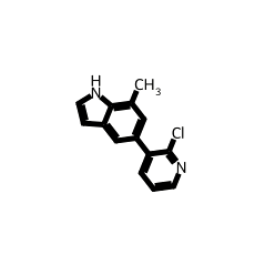 Cc1cc(-c2cccnc2Cl)cc2cc[nH]c12